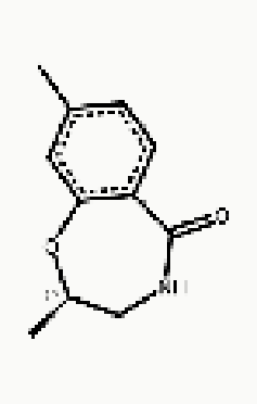 Cc1ccc2c(c1)O[C@H](C)CNC2=O